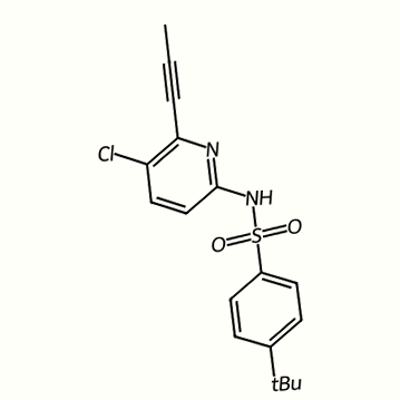 CC#Cc1nc(NS(=O)(=O)c2ccc(C(C)(C)C)cc2)ccc1Cl